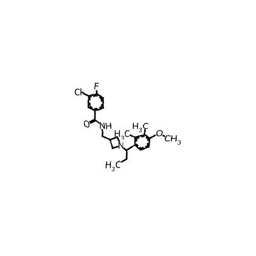 CCC(c1ccc(OC)c(C)c1C)N1CC(CNC(=O)c2ccc(F)c(Cl)c2)C1